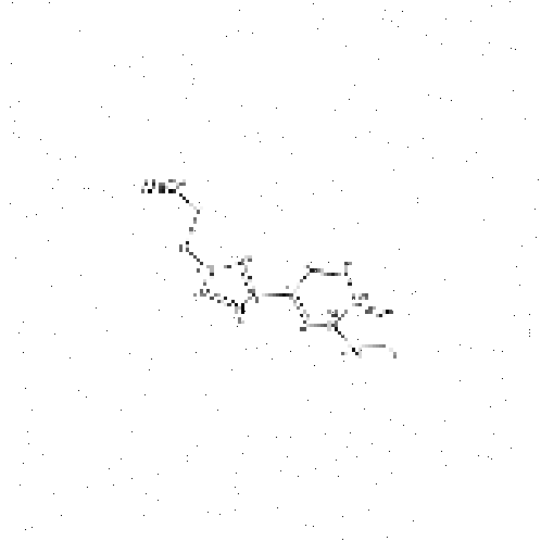 COCCn1cnc(-c2ccc3ccnn3c2)c1